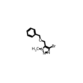 Cn1nnc(Br)c1COCc1ccccc1